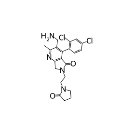 Cc1nc2c(c(-c3ccc(Cl)cc3Cl)c1CN)C(=O)N(CCN1CCCC1=O)C2